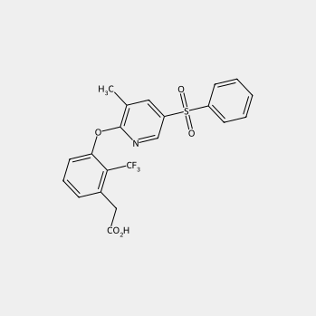 Cc1cc(S(=O)(=O)c2ccccc2)cnc1Oc1cccc(CC(=O)O)c1C(F)(F)F